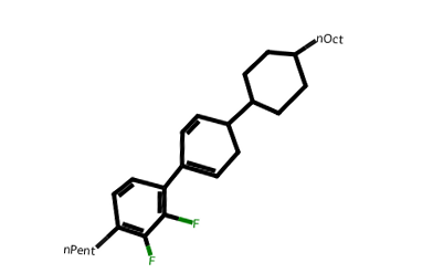 CCCCCCCCC1CCC(C2C=CC(c3ccc(CCCCC)c(F)c3F)=CC2)CC1